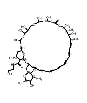 C[C@@H]1OC(=O)CC(O)CC(O)CCC(O)C(O)CC(O)CC2(O)C[C@H](O)C(C(=O)NCCO)[C@H](CC(O[C@@H]3O[C@H](C)C(O)[C@H](N)C3O)/C=C/C=C/C=C/C=C/C=C/C=C/C=C/[C@H](C)C(O)[C@H]1C)O2